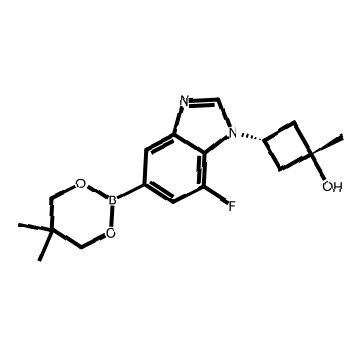 CC1(C)COB(c2cc(F)c3c(c2)ncn3[C@H]2C[C@@](C)(O)C2)OC1